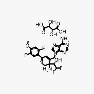 COc1cc(F)c(C2=NCC(N)([C@@H](O)C(F)F)C(Cn3cnc4c(N)ncnc43)=C2)cc1F.O=C(O)[C@@H](O)[C@H](O)C(=O)O